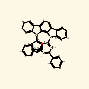 C1=c2c(n(-c3ccccc3)c3c2ccc2c4ccccc4n(-c4nc(-c5ccccc5)nc(-c5ccccc5)n4)c23)=CCC1